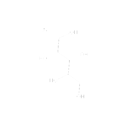 CC(=O)[C@H](O)[C@@H](O)[C@H](O)C(O)CO